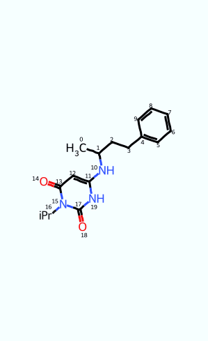 CC(CCc1ccccc1)Nc1cc(=O)n(C(C)C)c(=O)[nH]1